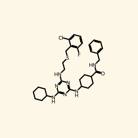 O=C(NCc1ccccc1)C1CCC(Nc2nc(NCCSCc3c(F)cccc3Cl)nc(NC3CCCCC3)n2)CC1